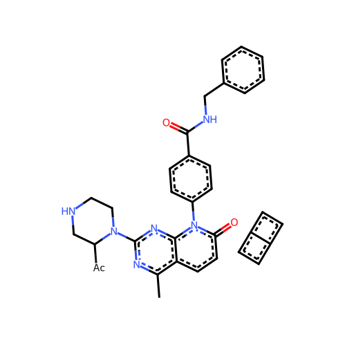 CC(=O)C1CNCCN1c1nc(C)c2ccc(=O)n(-c3ccc(C(=O)NCc4ccccc4)cc3)c2n1.c1cc2ccc1-2